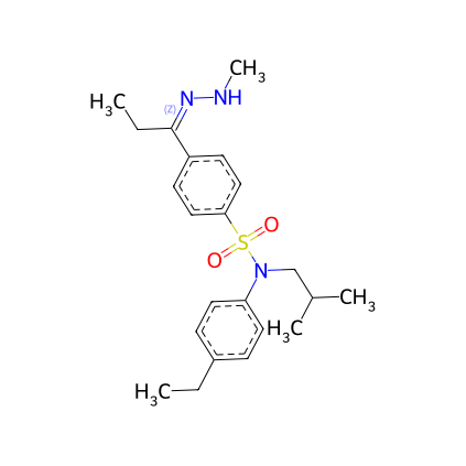 CC/C(=N/NC)c1ccc(S(=O)(=O)N(CC(C)C)c2ccc(CC)cc2)cc1